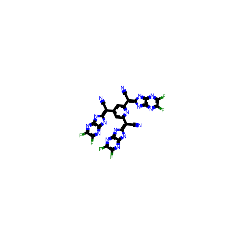 N#CC(=C1N=c2nc(F)c(F)nc2=N1)c1cc(C(C#N)=C2N=c3nc(F)c(F)nc3=N2)nc(C(C#N)=C2N=c3nc(F)c(F)nc3=N2)c1